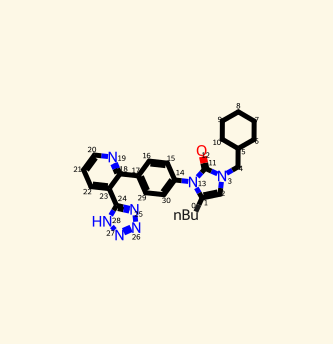 CCCCc1cn(CC2CCCCC2)c(=O)n1-c1ccc(-c2ncccc2-c2nnn[nH]2)cc1